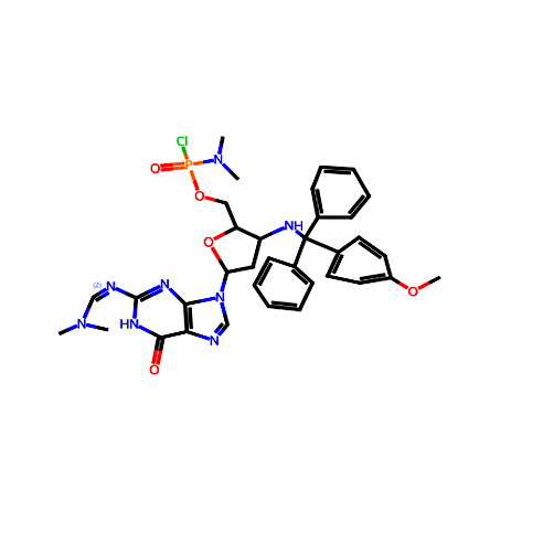 COc1ccc(C(NC2CC(n3cnc4c(=O)[nH]c(/N=C\N(C)C)nc43)OC2COP(=O)(Cl)N(C)C)(c2ccccc2)c2ccccc2)cc1